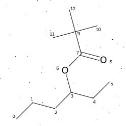 CCCC(CC)OC(=O)C(C)(C)C